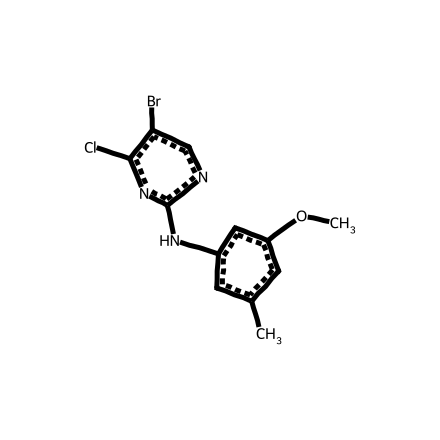 COc1cc(C)cc(Nc2ncc(Br)c(Cl)n2)c1